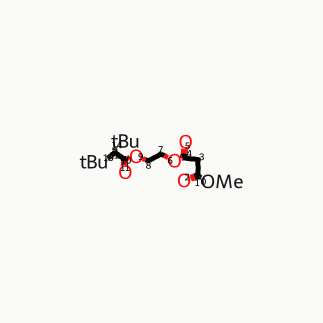 COC(=O)CC(=O)OCCOC(=O)C(C(C)(C)C)C(C)(C)C